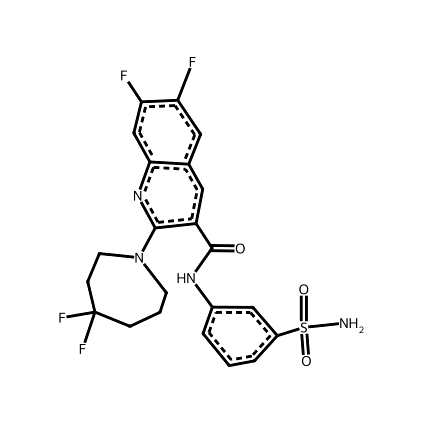 NS(=O)(=O)c1cccc(NC(=O)c2cc3cc(F)c(F)cc3nc2N2CCCC(F)(F)CC2)c1